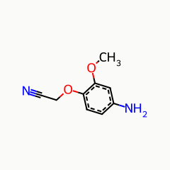 COc1cc(N)ccc1OCC#N